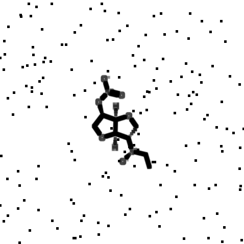 CC[S@@+]([O-])[C@H]1CO[C@H]2[C@@H]1OC[C@H]2O[N+](=O)[O-]